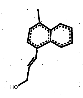 Cc1ccc(C=CCO)c2ccccc12